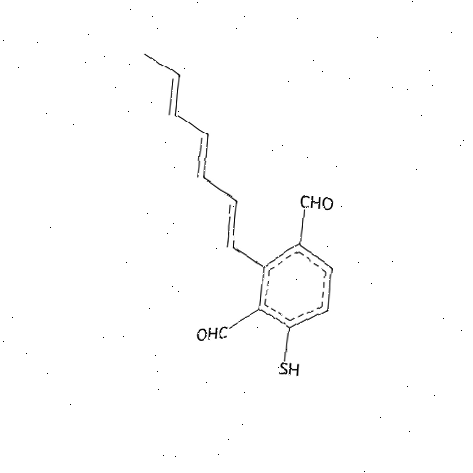 CC=CC=CC=Cc1c(C=O)ccc(S)c1C=O